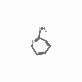 NC1=NCC=CC=C1